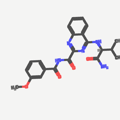 COc1cccc(C(=O)NC(=O)c2nc(N[C@H](C(N)=O)C(C)C)c3ccccc3n2)c1